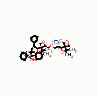 C[C@H]1OCC12[C@H]([C@@H](N)COC[C@@H]1OC[C@@]13[C@H]([C@@H](CC(C)(C)[Si](O)(c1ccccc1)c1ccccc1)c1ccccc1)OC3(C)C)OC2(C)C